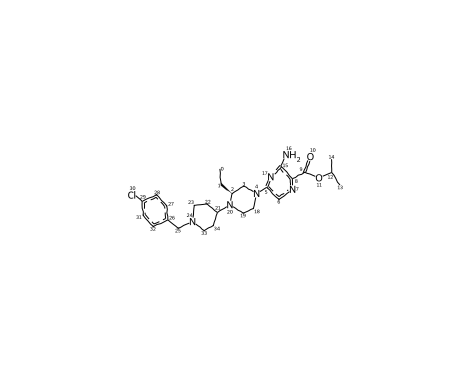 CC[C@H]1CN(c2cnc(C(=O)OC(C)C)c(N)n2)CCN1C1CCN(Cc2ccc(Cl)cc2)CC1